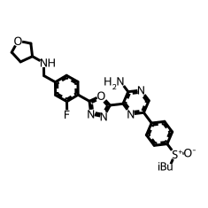 CCC(C)[S+]([O-])c1ccc(-c2cnc(N)c(-c3nnc(-c4ccc(CNC5CCOC5)cc4F)o3)n2)cc1